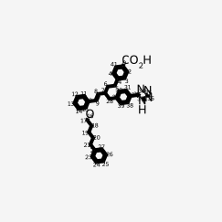 O=C(O)c1ccc(CCC(/C=C/c2ccccc2OCCCCCc2ccccc2)Cc2ccc(-c3nnn[nH]3)cc2)cc1